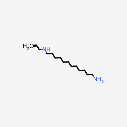 C=CCNCCCCCCCCCCCCN